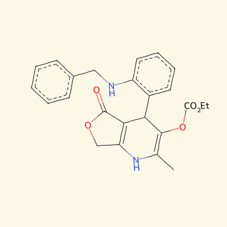 CCOC(=O)OC1=C(C)NC2=C(C(=O)OC2)C1c1ccccc1NCc1ccccc1